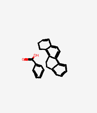 C1=Cc2ccc3c(c2CC1)CCc1ccccc1-3.O=C(O)c1ccccc1